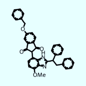 COc1ccc(C2C(=O)c3ccc(OCc4ccccc4)cc3C2=O)c2[nH]c(C(Cc3ccccc3)c3ccccc3)nc12